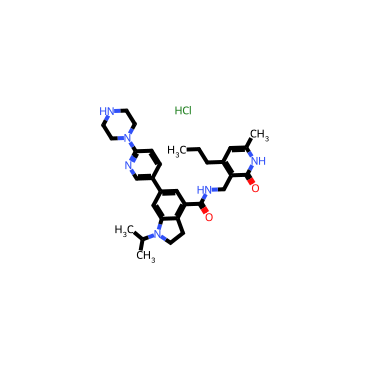 CCCc1cc(C)[nH]c(=O)c1CNC(=O)c1cc(-c2ccc(N3CCNCC3)nc2)cc2c1CCN2C(C)C.Cl